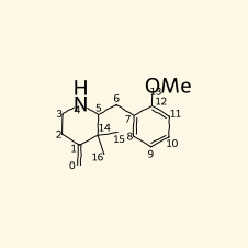 C=C1CCNC(Cc2ccccc2OC)C1(C)C